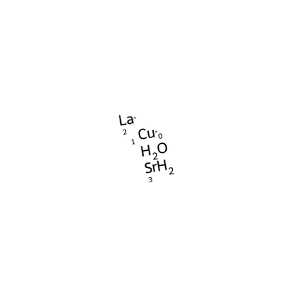 O.[Cu].[La].[SrH2]